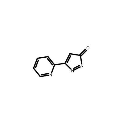 O=C1C=C(c2ccccn2)N=N1